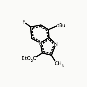 CCOC(=O)c1c(C)nc2c(C(C)(C)C)cc(F)cn12